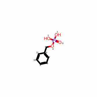 O=P(O)(O)O[CH]c1ccccc1